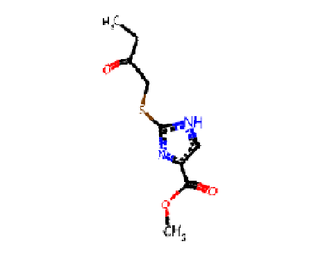 CCC(=O)CSc1nc(C(=O)OC)c[nH]1